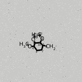 [CH2]C1CCC(OC)C(OC)C1OC